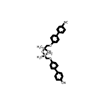 [C-]#[N+]c1ccc(-c2ccc(OC[Si](C)(C)O[Si](C)(C)COc3ccc(-c4ccc(C#N)cc4)cc3)cc2)cc1